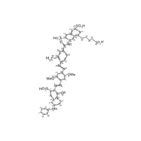 COc1cc(N=Nc2c(S(=O)(=O)O)cc3cc(Nc4ccccc4)ccc3c2O)c(OC)cc1N=Nc1ccc(C(=O)Nc2cc3c(OCCCS(=O)(=O)O)cc(S(=O)(=O)O)cc3cc2S(=O)(=O)O)cc1C